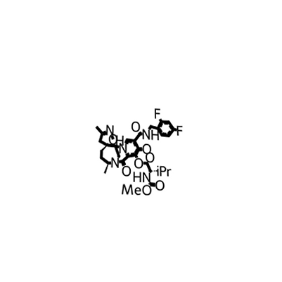 COC(=O)N[C@H](C(=O)Oc1c2n(cc(C(=O)NCc3ccc(F)cc3F)c1=O)[C@@H]1CN(C2=O)[C@@H](C)CC[C@]12CC(C)=NO2)C(C)C